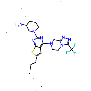 CCCc1cc2c(N3CCn4c(nnc4C(F)(F)F)C3)nc(N3CCCC(N)C3)nc2s1